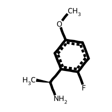 COc1ccc(F)c([C@H](C)N)c1